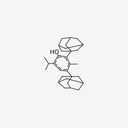 Cc1c(C23CC4CC(CC(C4)C2)C3)cc(C(C)C)c(O)c1C12CC3CC(CC(C3)C1)C2